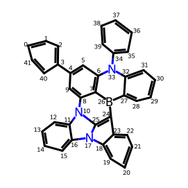 c1ccc(-c2cc3c4c(c2)-n2c5ccccc5n5c6ccccc6c(c25)B4c2ccccc2N3c2ccccc2)cc1